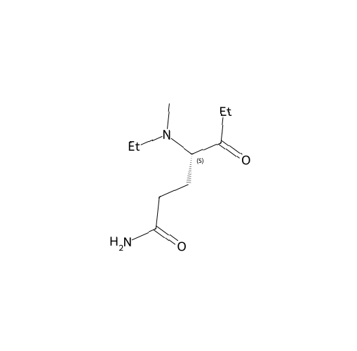 CCC(=O)[C@H](CCC(N)=O)N(C)CC